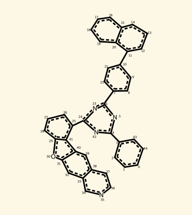 c1ccc(-c2nc(-c3ccc(-c4cccc5ccccc45)cc3)nc(-c3cccc4oc5cc6cnccc6cc5c34)n2)cc1